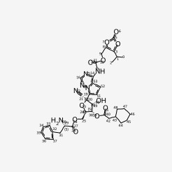 CC(C)c1oc(=O)oc1COC(=O)Nc1ncnn2c([C@]3(C#N)O[C@H](COC(=O)[C@@H](N)Cc4ccccc4)[C@@H](OC(=O)CC4CCCCC4)[C@H]3O)ccc12